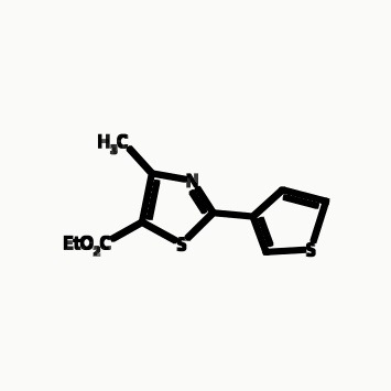 CCOC(=O)c1sc(-c2ccsc2)nc1C